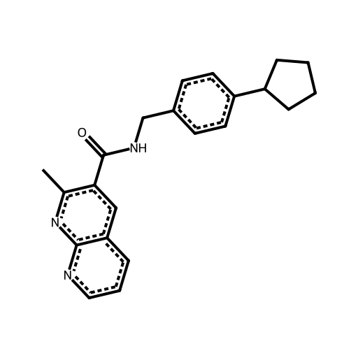 Cc1nc2ncccc2cc1C(=O)NCc1ccc(C2CCCC2)cc1